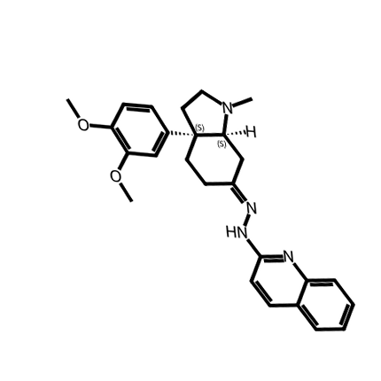 COc1ccc([C@@]23CCC(=NNc4ccc5ccccc5n4)C[C@@H]2N(C)CC3)cc1OC